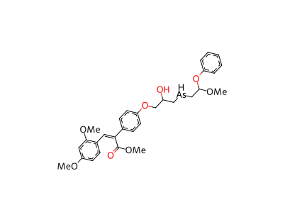 COC(=O)C(=Cc1ccc(OC)cc1OC)c1ccc(OCC(O)C[AsH]CC(OC)Oc2ccccc2)cc1